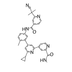 CNC(=O)c1cc(-c2cc(-c3cc(NC(=O)c4ccnc(C(C)(C)C#N)c4)ccc3C)cc(C3CC3)n2)ccn1